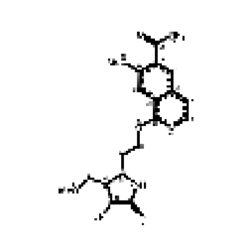 COC[C@@H]1[C@H](F)C(=O)N[C@@H]1CCOc1nccc2cc(C(N)=O)c(OC)cc12